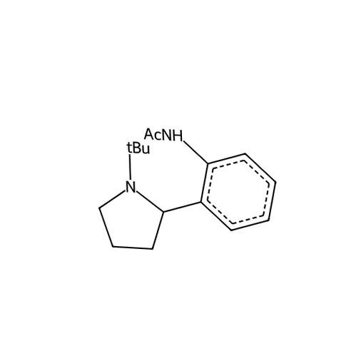 CC(=O)Nc1ccccc1C1CCCN1C(C)(C)C